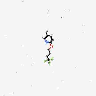 Cc1ccc(OCCCC(F)(F)F)nc1